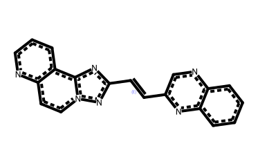 C(=C\c1nc2c3cccnc3ccn2n1)/c1cnc2ccccc2n1